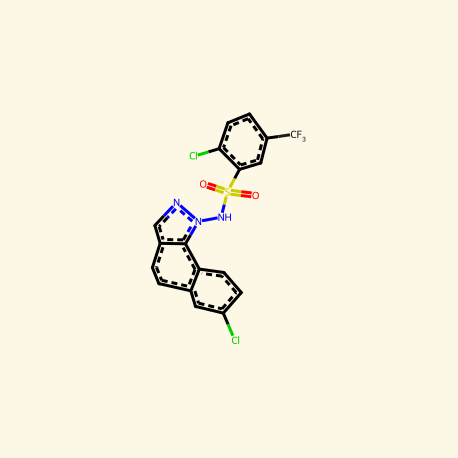 O=S(=O)(Nn1ncc2ccc3cc(Cl)ccc3c21)c1cc(C(F)(F)F)ccc1Cl